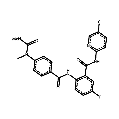 CNC(=O)N(C)c1ccc(C(=O)Nc2ccc(F)cc2C(=O)Nc2ccc(Cl)cn2)cc1